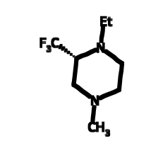 CCN1CCN(C)C[C@@H]1C(F)(F)F